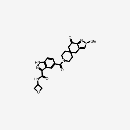 CC(C)(C)n1cc2c(n1)C(=O)CC1(CCN(C(=O)c3ccc4[nH]nc(C(=O)NC5COC5)c4c3)CC1)C2